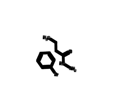 Brc1ccccc1.CCCC(=O)NN